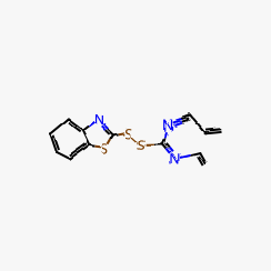 C=C/C=N\C(=N/C=C)SSc1nc2ccccc2s1